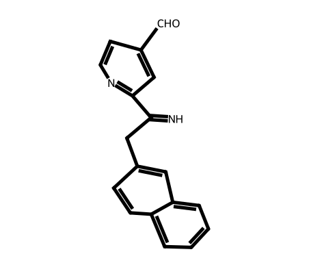 N=C(Cc1ccc2ccccc2c1)c1cc(C=O)ccn1